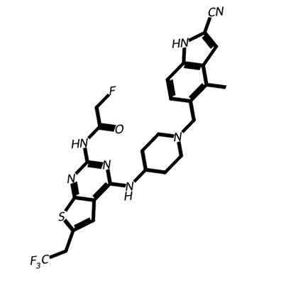 Cc1c(CN2CCC(Nc3nc(NC(=O)CF)nc4sc(CC(F)(F)F)cc34)CC2)ccc2[nH]c(C#N)cc12